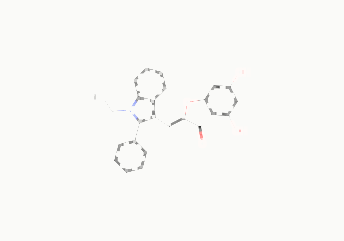 CC(C)Cn1c(-c2ccccc2)c(/C=C2\Oc3cc(O)cc(O)c3C2=O)c2ccccc21